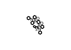 c1ccc(N2c3ccccc3B3c4cc5c(cc4Oc4cccc2c43)Oc2cccc3c2B5c2c(sc4ccccc24)N3c2ccccc2)cc1